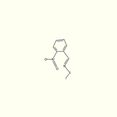 O=[N+]([O-])c1ccccc1/C=N/SI